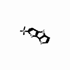 C[Si](C)(C)c1cc2sc3ccsc3c2s1